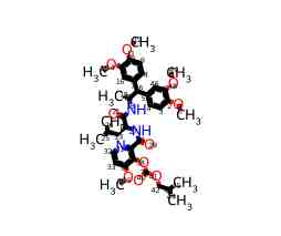 COc1ccc(C(c2ccc(OC)c(OC)c2)[C@H](C)NC(=O)[C@H](CC(C)C)NC(=O)c2nccc(OC)c2OC(=O)OCC(C)C)cc1OC